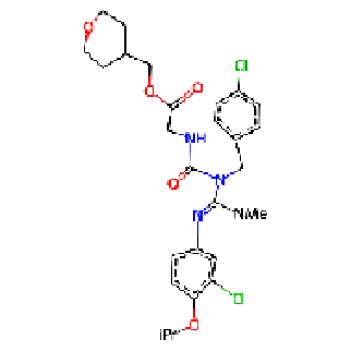 CN/C(=N\c1ccc(OC(C)C)c(Cl)c1)N(Cc1ccc(Cl)cc1)C(=O)NCC(=O)OCC1CCOCC1